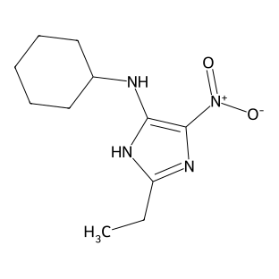 CCc1nc([N+](=O)[O-])c(NC2CCCCC2)[nH]1